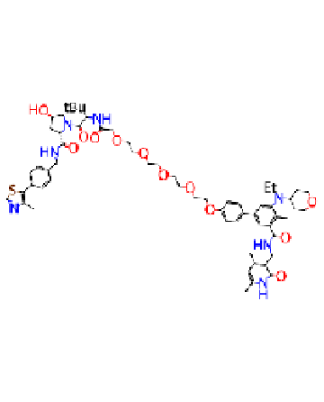 CCN(c1cc(-c2ccc(OCCOCCOCCOCCOCC(=O)NC(C(=O)N3C[C@H](O)C[C@H]3C(=O)NCc3ccc(-c4scnc4C)cc3)C(C)(C)C)cc2)cc(C(=O)NCc2c(C)cc(C)[nH]c2=O)c1C)C1CCOCC1